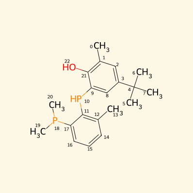 Cc1cc(C(C)(C)C)cc(Pc2c(C)cccc2P(C)C)c1O